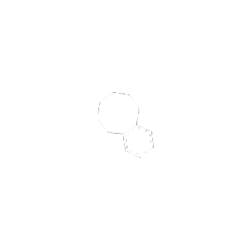 c1ccc2c(c1)CCCCSC2